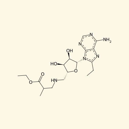 CCOC(=O)C(C)CNC[C@H]1O[C@@H](n2c(CC)nc3c(N)ncnc32)[C@H](O)[C@@H]1O